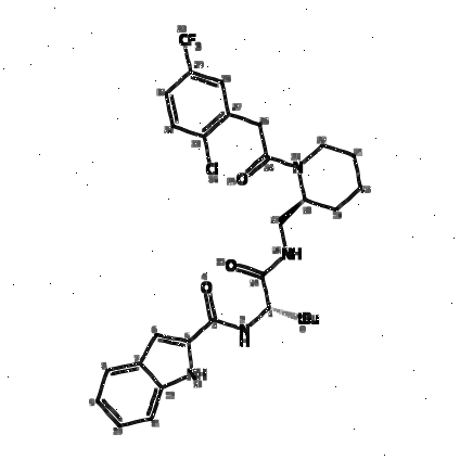 CC(C)(C)[C@H](NC(=O)c1cc2ccccc2[nH]1)C(=O)NC[C@@H]1CCCCN1C(=O)Cc1cc(C(F)(F)F)ccc1Cl